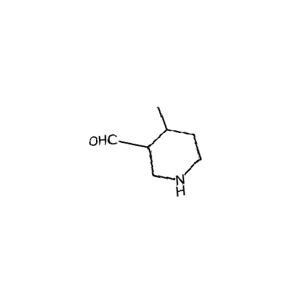 CC1CCNCC1C=O